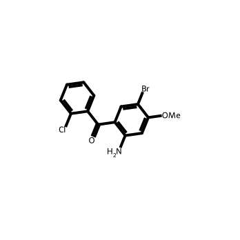 COc1cc(N)c(C(=O)c2ccccc2Cl)cc1Br